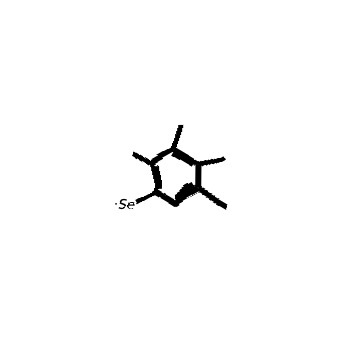 Cc1cc([Se])c(C)c(C)c1C